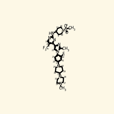 Cc1nc(-c2nc(NC3CCN(S(C)(=O)=O)CC3)ncc2C(F)(F)F)cn1-c1ccc(N2CCC(N3CCN(C)CC3)CC2)cc1F